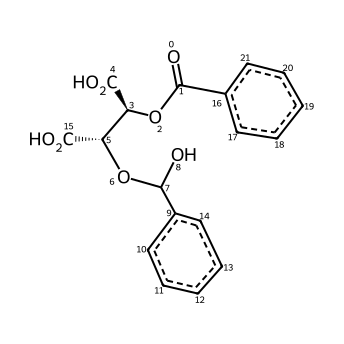 O=C(O[C@H](C(=O)O)[C@H](OC(O)c1ccccc1)C(=O)O)c1ccccc1